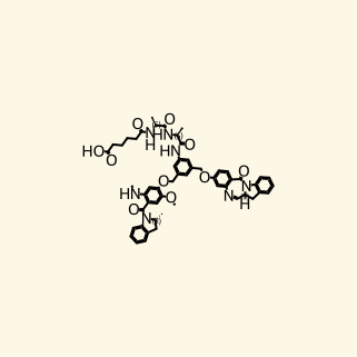 CNc1cc(OCc2cc(COc3ccc4c(c3)N=C[C@@H]3Cc5ccccc5N3C4=O)cc(NC(=O)[C@H](C)NC(=O)[C@H](C)NC(=O)CCCCC(=O)O)c2)c(OC)cc1C(=O)N1c2ccccc2C[C@H]1C